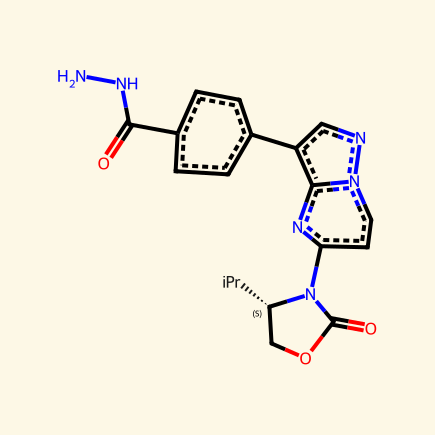 CC(C)[C@H]1COC(=O)N1c1ccn2ncc(-c3ccc(C(=O)NN)cc3)c2n1